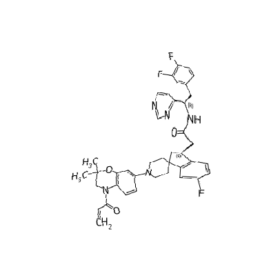 C=CC(=O)N1CC(C)(C)Oc2cc(N3CCC4(CC3)C[C@@H](CC(=O)N[C@H](Cc3ccc(F)c(F)c3)c3ccncn3)c3ccc(F)cc34)ccc21